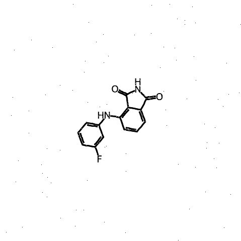 O=C1NC(=O)c2c(Nc3cccc(F)c3)cccc21